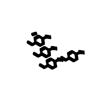 C=C.C=Cc1ccc(O)cc1.C=Cc1ccc(O)cc1.C=Cc1ccc(O)cc1.C=Cc1ccc(O)cc1